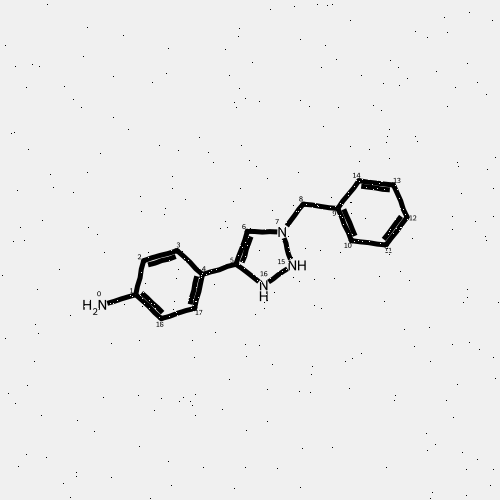 Nc1ccc(C2=CN(Cc3ccccc3)NN2)cc1